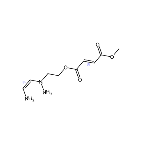 COC(=O)/C=C/C(=O)OCCN(N)/C=C\N